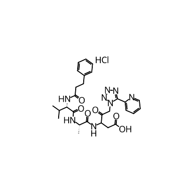 CC(C)[C@H](NC(=O)CCc1ccccc1)C(=O)N[C@@H](C)C(=O)NC(CC(=O)O)C(=O)Cn1nnnc1-c1ccccn1.Cl